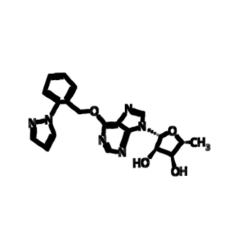 C[C@H]1O[C@@H](n2cnc3c(OCc4ccccc4-n4cccn4)ncnc32)[C@H](O)[C@@H]1O